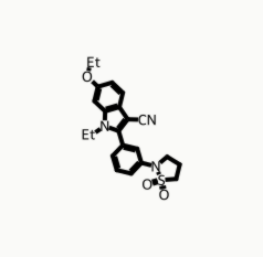 CCOc1ccc2c(C#N)c(-c3cccc(N4CCCS4(=O)=O)c3)n(CC)c2c1